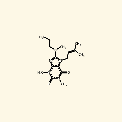 CC(C)=CCn1c(N(C)CCN)nc2c1c(=O)n(C)c(=O)n2C